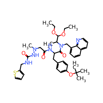 CCOC(OCC)C(C)N(Cc1cccc2cccnc12)C(=O)C(Cc1ccc(OC(C)(C)C)cc1)NC(=O)CN(C)NC(=O)NCc1cccs1